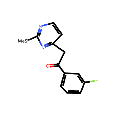 CSc1nccc(CC(=O)c2cccc(F)c2)n1